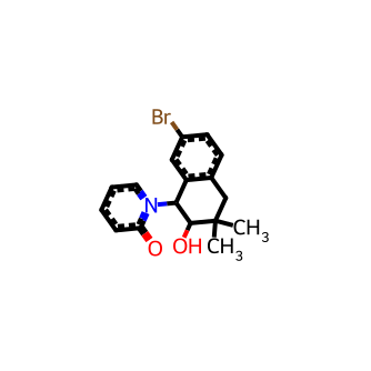 CC1(C)Cc2ccc(Br)cc2C(n2ccccc2=O)C1O